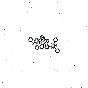 c1ccc(-c2nc(-c3ccccc3)nc(-c3cccc4c3-c3cccc(-c5cccc(-c6nc(-c7ccccc7)c7sc8ccccc8c7n6)c5)c3C43c4ccccc4Oc4ccccc43)n2)cc1